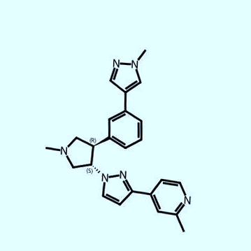 Cc1cc(-c2ccn([C@@H]3CN(C)C[C@H]3c3cccc(-c4cnn(C)c4)c3)n2)ccn1